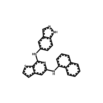 c1ccc2c(Nc3cc4ccsc4c(Nc4ccc5[nH]ncc5c4)n3)cccc2c1